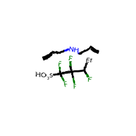 C=CCNCC=C.CCC(F)C(F)(F)C(F)(F)S(=O)(=O)O